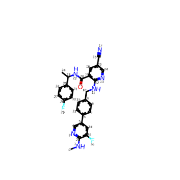 CNc1ncc(-c2ccc(CNc3ncc(C#N)cc3C(=O)NC(C)c3ccc(F)cc3)cc2)cc1F